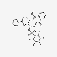 CO/N=C\[C@@H](F)[C@H](OC(=O)c1ccccc1)[C@@H](COC(=O)c1ccccc1)OS(=O)(=O)c1c(F)c(F)c(F)c(F)c1F